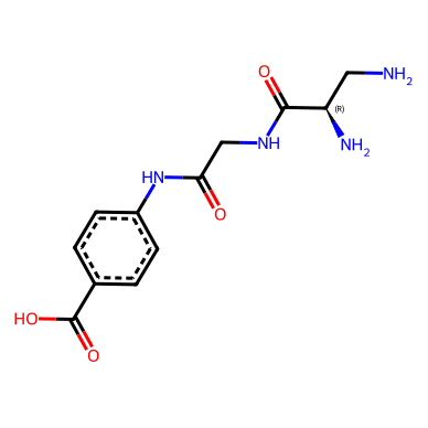 NC[C@@H](N)C(=O)NCC(=O)Nc1ccc(C(=O)O)cc1